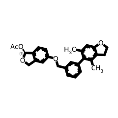 CC(=O)O[C@@H]1OCc2cc(OCc3cccc(-c4c(C)cc5c(c4C)CCO5)c3)ccc21